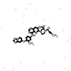 CC#CC(=O)N1CCN2C[C@H]1COc1cc3ncnc(Nc4ccc(Oc5ccn6ncnc6c5)c(C)c4)c3nc12